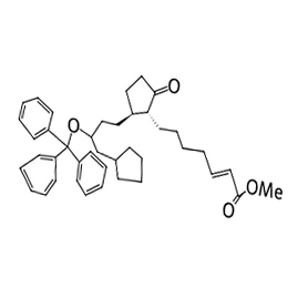 COC(=O)C=CCCCC[C@H]1C(=O)CC[C@@H]1CCC(CC1CCCC1)OC(c1ccccc1)(c1ccccc1)c1ccccc1